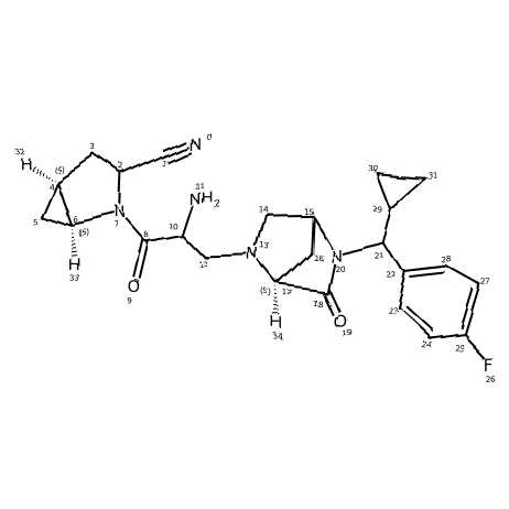 N#CC1C[C@@H]2C[C@@H]2N1C(=O)C(N)CN1CC2C[C@H]1C(=O)N2C(c1ccc(F)cc1)C1CC1